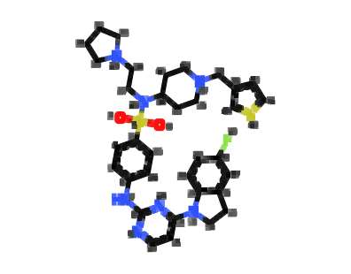 O=S(=O)(c1ccc(Nc2nccc(N3CCc4cc(F)ccc43)n2)cc1)N(CCN1CCCC1)C1CCN(Cc2ccsc2)CC1